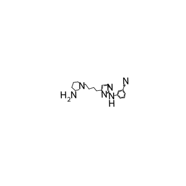 N#Cc1cccc(Nc2nccc(CCCCN3CCCC(N)C3)n2)c1